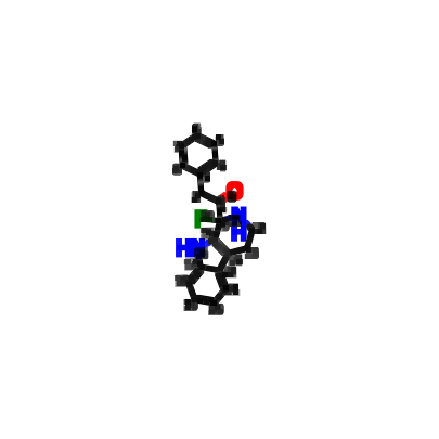 O=C(Cc1ccccc1)C1(F)NCCc2c1[nH]c1ccccc21